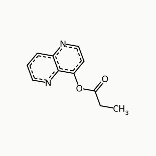 CCC(=O)Oc1ccnc2cccnc12